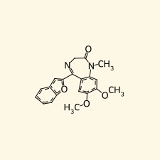 COc1cc2c(cc1OC)N(C)C(=O)CN=C2c1cc2ccccc2o1